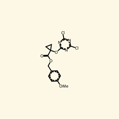 COc1ccc(COC(=O)C2(Oc3nc(Cl)nc(Cl)n3)CC2)cc1